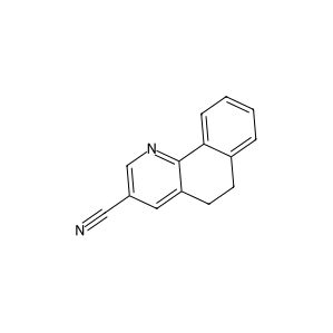 N#Cc1cnc2c(c1)CCc1ccccc1-2